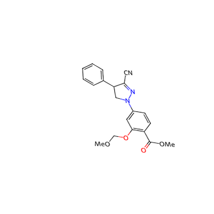 COCOc1cc(N2CC(c3ccccc3)C(C#N)=N2)ccc1C(=O)OC